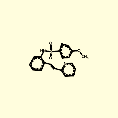 COc1ccc(S(=O)(=O)Nc2ccccc2C=Cc2ccccn2)cc1